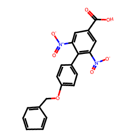 O=C(O)c1cc([N+](=O)[O-])c(-c2ccc(OCc3ccccc3)cc2)c([N+](=O)[O-])c1